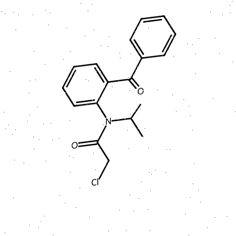 CC(C)N(C(=O)CCl)c1ccccc1C(=O)c1ccccc1